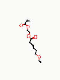 C=COCCCCCC(=O)OCCOC(=O)C(C)CC